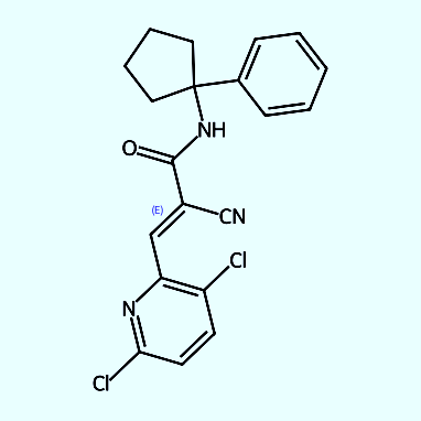 N#C/C(=C\c1nc(Cl)ccc1Cl)C(=O)NC1(c2ccccc2)CCCC1